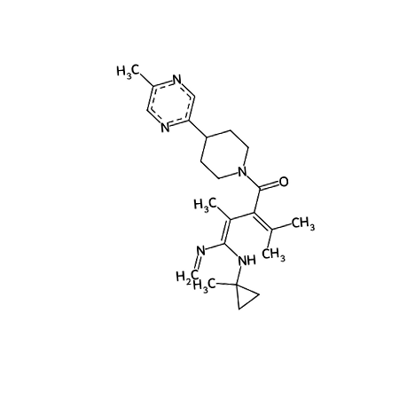 C=N/C(NC1(C)CC1)=C(\C)C(C(=O)N1CCC(c2cnc(C)cn2)CC1)=C(C)C